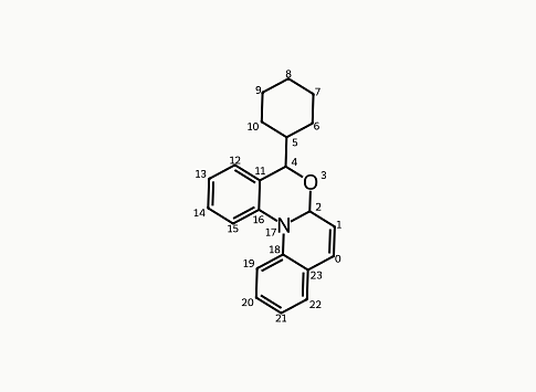 C1=CC2OC(C3CCCCC3)c3ccccc3N2c2ccccc21